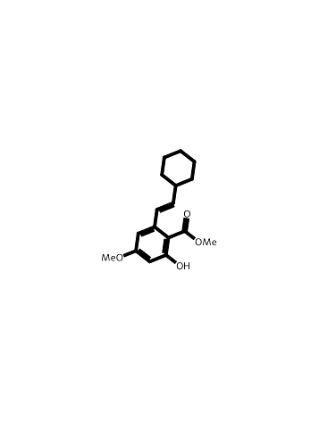 COC(=O)c1c(O)cc(OC)cc1/C=C/C1CCCCC1